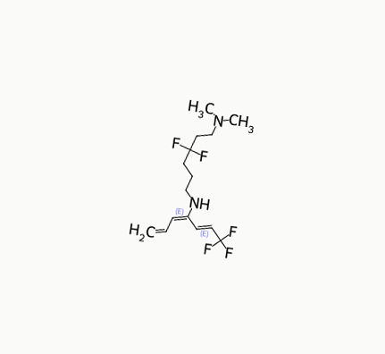 C=C/C=C(\C=C\C(F)(F)F)NCCCC(F)(F)CCN(C)C